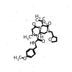 COc1ccc(CNC(=O)N2[C@H]3CN(CC4CCCO4)C(=O)[C@H](C(C)C)N3C(=O)CN2C)cc1